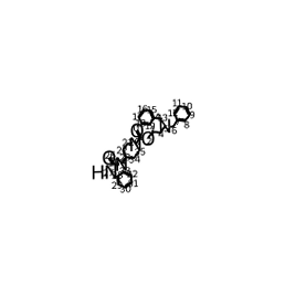 O=C(OCCN(Cc1ccccc1)Cc1ccccc1)N1CCC(n2c(=O)[nH]c3ccccc32)CC1